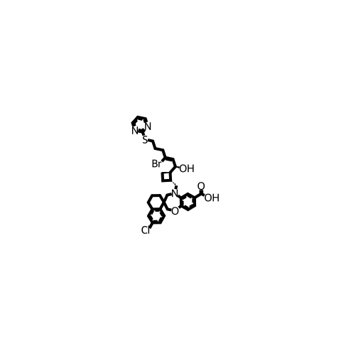 O=C(O)c1ccc2c(c1)N(C[C@@H]1CC[C@H]1[C@H](O)/C=C(\Br)CCCSc1ncccn1)CC1(CCCc3cc(Cl)ccc31)CO2